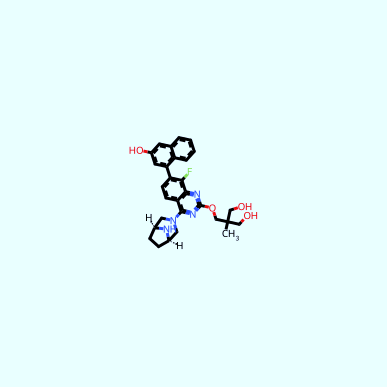 CC(CO)(CO)COc1nc(N2C[C@H]3CC[C@@H](C2)N3)c2ccc(-c3cc(O)cc4ccccc34)c(F)c2n1